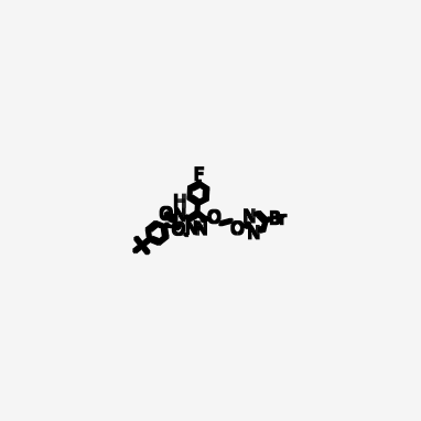 Cn1nc(OCCOc2ncc(Br)cn2)c(-c2ccc(F)cc2)c1NS(=O)(=O)c1ccc(C(C)(C)C)cc1